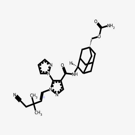 CC(C)(/C=C/n1ncc(C(=O)N[C@H]2C3CC4CC2C[C@](COC(N)=O)(C4)C3)c1-n1cccn1)CC#N